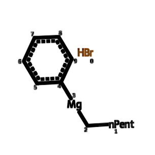 Br.CCCCC[CH2][Mg][c]1ccccc1